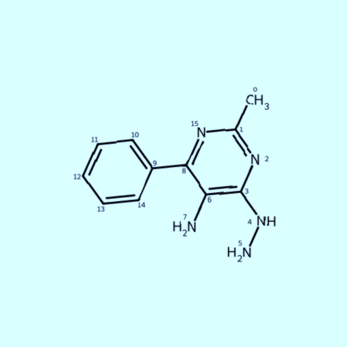 Cc1nc(NN)c(N)c(-c2ccccc2)n1